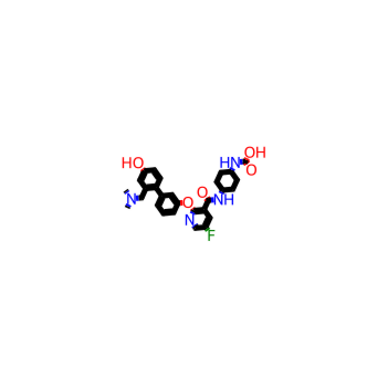 CN(C)Cc1cc(O)ccc1-c1cccc(Oc2ncc(F)cc2C(=O)NC2CCC(NC(=O)O)CC2)c1